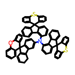 C1=CC2=C(CC1)c1cc(N(c3cccc4c3-c3ccccc3C43c4ccccc4Sc4ccccc43)c3cccc4c3-c3ccccc3C43c4ccccc4Sc4ccccc43)ccc1C21c2ccccc2Oc2ccccc21